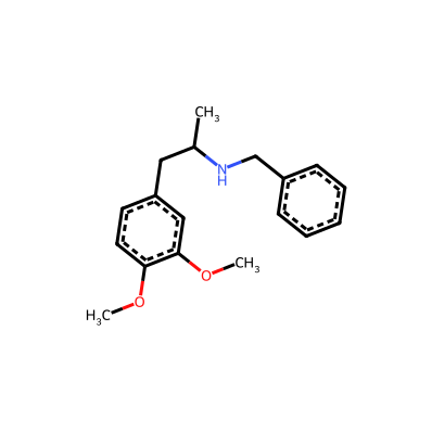 COc1ccc(CC(C)NCc2ccccc2)cc1OC